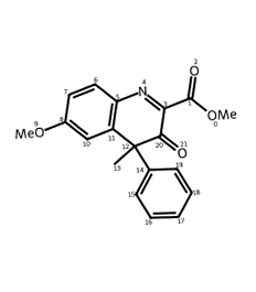 COC(=O)C1=Nc2ccc(OC)cc2C(C)(c2ccccc2)C1=O